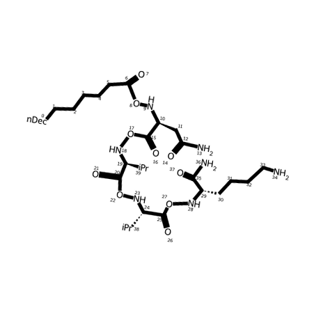 CCCCCCCCCCCCCCCC(=O)ON[C@@H](CC(N)=O)C(=O)ON[C@H](C(=O)ON[C@H](C(=O)ON[C@@H](CCCCN)C(N)=O)C(C)C)C(C)C